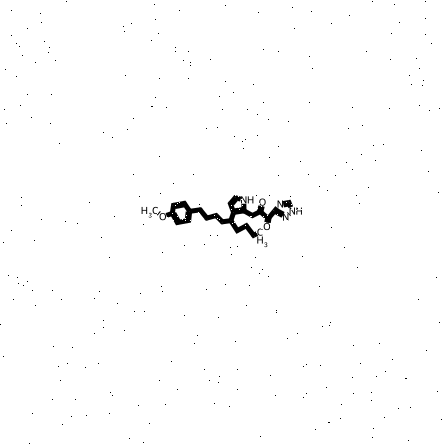 CCCCC(CCCCc1ccc(OC)cc1)c1cc[nH]c1CC(=O)C(=O)c1nc[nH]n1